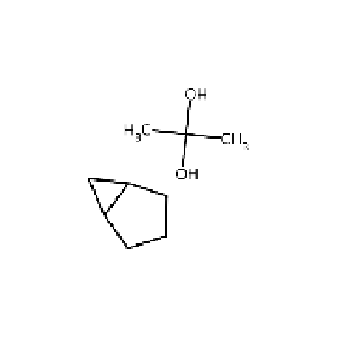 C1CC2CC2C1.CC(C)(O)O